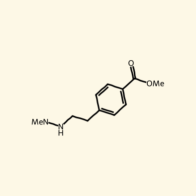 CNNCCc1ccc(C(=O)OC)cc1